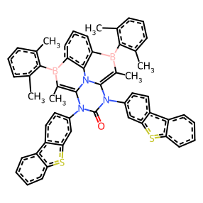 CC1=C2N(c3ccc4c(c3)sc3ccccc34)C(=O)N(c3ccc4c(c3)sc3ccccc34)C3=C(C)B(c4c(C)cccc4C)c4cccc(c4N23)B1c1c(C)cccc1C